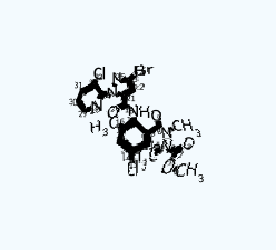 COC(=O)N(C)N(C)C(=O)c1cc(Cl)cc(C)c1NC(=O)c1cc(Br)nn1-c1ncccc1Cl